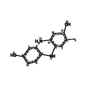 Cc1cc(Nc2ccc(O)cc2)c(N)cc1O